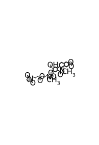 CN(CCOC(=O)CCCN1C(=O)C=CC1=O)C(=O)Oc1cc2c(=O)n(C)c3c4cc5c(cc4ccc3c2cc1CO)OCO5